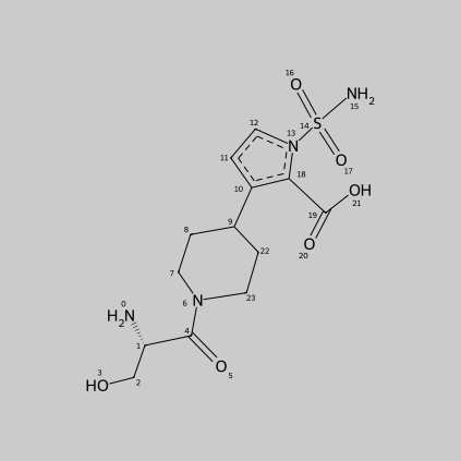 N[C@@H](CO)C(=O)N1CCC(c2ccn(S(N)(=O)=O)c2C(=O)O)CC1